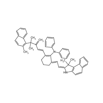 C=C(/C=C/C1=C(N(c2ccccc2)c2ccccc2)C(=C/C=C2/Nc3ccc4ccccc4c3C2(C)C)/CCC1)C(C)(C)c1c(C)ccc2ccccc12